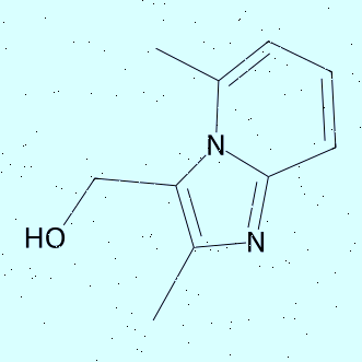 Cc1nc2cccc(C)n2c1CO